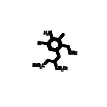 CCOC(=O)CC(Cc1cc(Br)c(N)c(C)c1COC(C)=O)C(=O)OCC